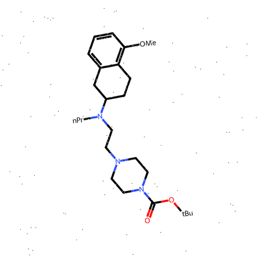 CCCN(CCN1CCN(C(=O)OC(C)(C)C)CC1)C1CCc2c(cccc2OC)C1